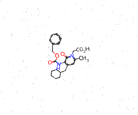 Cc1cc(CC2CCCCC2)c(NC(=O)OCc2ccccc2)c(=O)n1CC(=O)O